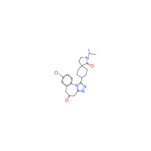 CC(C)N1CCC2(CCC(c3nnc4n3-c3ccc(Cl)cc3CC(=O)C4)CC2)C1=O